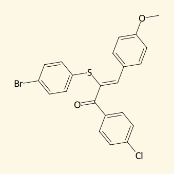 COc1ccc(C=C(Sc2ccc(Br)cc2)C(=O)c2ccc(Cl)cc2)cc1